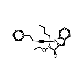 CCCCC1(C#CCCc2ccccc2)N(OCC)C(=O)c2cc3ccccc3n21